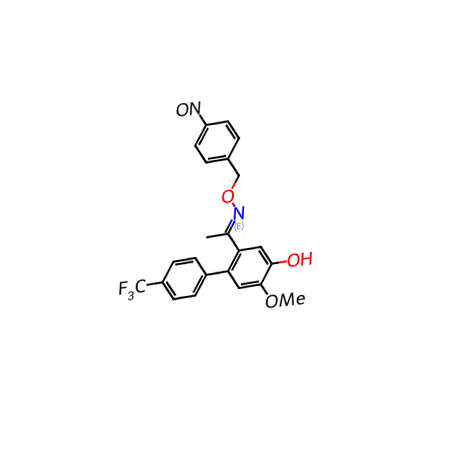 COc1cc(-c2ccc(C(F)(F)F)cc2)c(/C(C)=N/OCc2ccc(N=O)cc2)cc1O